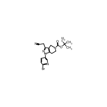 CC(C)(C)OC(=O)N1CCc2c(c(CC#N)nn2-c2ccc(Br)nc2)C1